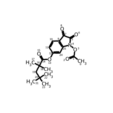 CC(=O)ON1C(=O)C(=O)c2ccc(OC(=O)C(C)(C)CC(C)(C)C)cc21